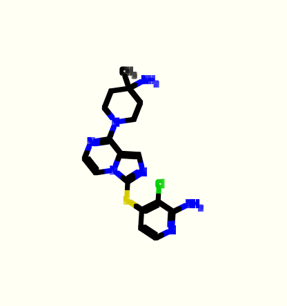 CC1(N)CCN(c2nccn3c(Sc4ccnc(N)c4Cl)ncc23)CC1